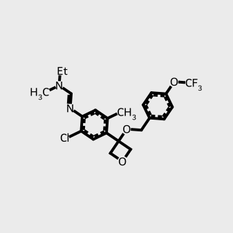 CCN(C)C=Nc1cc(C)c(C2(OCc3ccc(OC(F)(F)F)cc3)COC2)cc1Cl